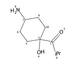 CC(C)C(=O)C1(O)CCC(N)CC1